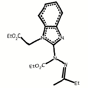 CCOC(=O)Cn1c(N(N=C(C)CC)C(=O)OCC)nc2ccccc21